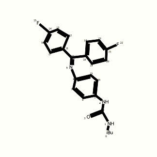 CCC(C)NC(=O)Nc1ccc(N=C(c2ccc(F)cc2)c2ccc(F)cc2)cc1